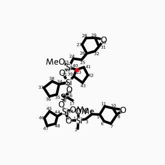 CO[Si](C)(CCC1CCC2OC2C1)O[Si](OC)(O[Si](C)(C)O[Si](O[Si](C)(CCC1CCC2OC2C1)OC)(C1CCCC1)C1CCCC1)C1CCCC1